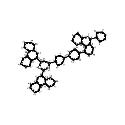 c1ccc(-c2nc3ccccc3c3c(-c4ccc(-c5ccc(-c6cc(-c7cc8ccccc8c8ccccc78)nc(-c7cc8ccccc8c8ccccc78)n6)cc5)cc4)cccc23)cc1